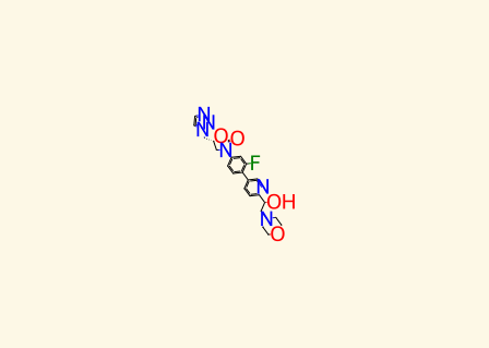 O=C1O[C@@H](Cn2ccnn2)CN1c1ccc(-c2ccc(C(O)CN3CCOCC3)nc2)c(F)c1